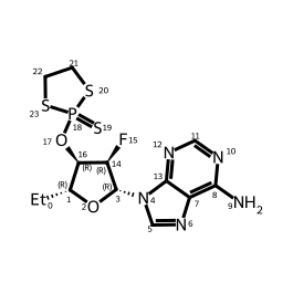 CC[C@H]1O[C@@H](n2cnc3c(N)ncnc32)[C@H](F)[C@@H]1OP1(=S)SCCS1